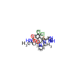 CC(C)NS(=O)(=O)c1cc(Cl)c(Cl)c(-c2sc(-c3cnn[nH]3)nc2C(=O)N2CCCC[C@@H]2C)c1